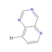 CCc1ccnc2cncnc12